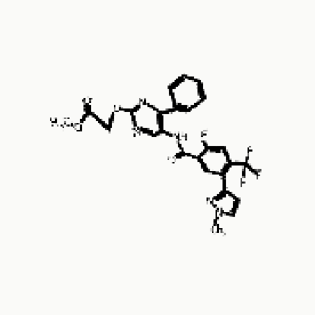 COC(=O)COc1ncc(NC(=O)c2cc(-c3ccn(C)n3)c(C(F)(F)F)cc2F)c(-c2ccccc2)n1